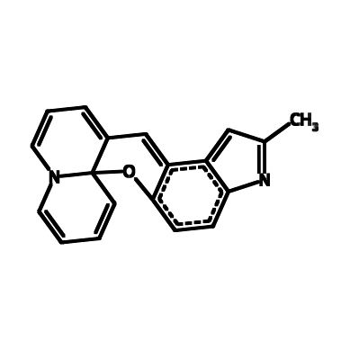 CC1=Nc2ccc3c(c2=C1)=CC1=CC=CN2C=CC=CC12O3